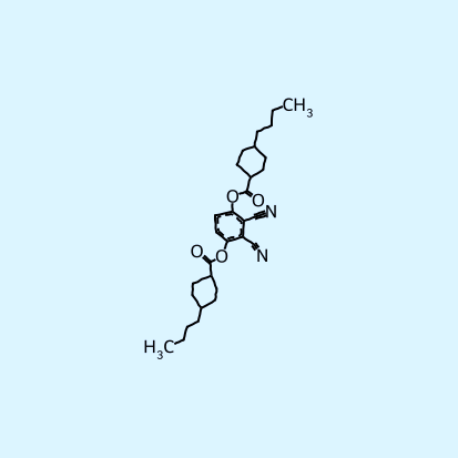 CCCCC1CCC(C(=O)Oc2ccc(OC(=O)C3CCC(CCCC)CC3)c(C#N)c2C#N)CC1